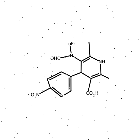 CCCN(C=O)C1=C(C)NC(C)=C(C(=O)O)C1c1ccc([N+](=O)[O-])cc1